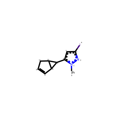 CC(C)n1nc(I)cc1C1C2C=CCC21